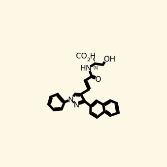 O=C(C=Cc1cn(-c2ccccc2)nc1-c1ccc2ccccc2c1)N[C@@H](CO)C(=O)O